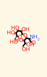 N[C@@H](C=O)[C@@H](O[C@@H]1O[C@H](CO)[C@@H](O)[C@H](O)[C@H]1O)[C@@H](O)[C@H](O)CO